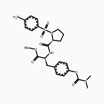 CN(C)C(=O)Oc1ccc(C[C@H](NC(=O)[C@@H]2CCCN2S(=O)(=O)c2ccc(N)cc2)C(=O)OC(C)(C)C)cc1